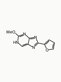 COc1nc2nc(-c3ccco3)nc-2c[nH]1